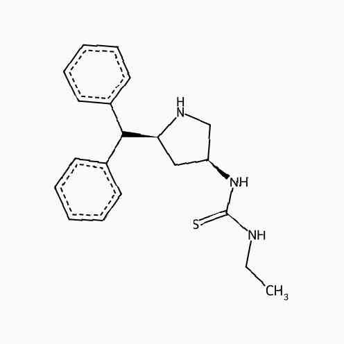 CCNC(=S)N[C@@H]1CN[C@H](C(c2ccccc2)c2ccccc2)C1